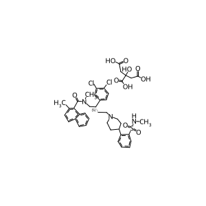 CNS(=O)(=O)c1ccccc1C1CCN(CC[C@H](CN(C)C(=O)c2c(C)ccc3ccccc23)c2ccc(Cl)c(Cl)c2)CC1.O=C(O)CC(O)(CC(=O)O)C(=O)O